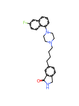 O=C1NCc2ccc(CCCCN3CCN(c4cccc5cc(F)ccc45)CC3)cc21